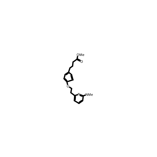 CNc1cccc(CCOc2ccc(CCCC(=O)OC)cc2)n1